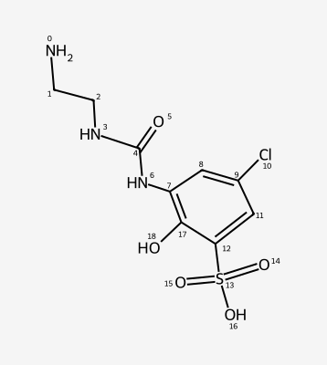 NCCNC(=O)Nc1cc(Cl)cc(S(=O)(=O)O)c1O